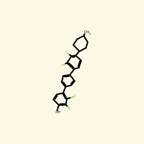 CCCc1ccc(-c2ccc(-c3ccc(C4CCC(C)CC4)c(F)c3F)cc2)c(F)c1F